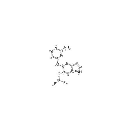 Nc1cc(Oc2cc3cc[nH]c3cc2OC(F)F)ccn1